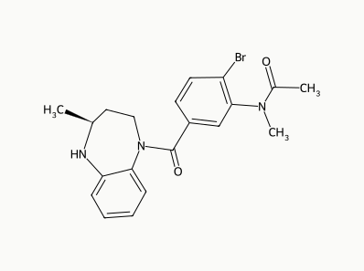 CC(=O)N(C)c1cc(C(=O)N2CC[C@H](C)Nc3ccccc32)ccc1Br